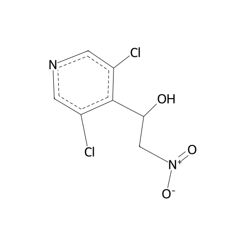 O=[N+]([O-])CC(O)c1c(Cl)cncc1Cl